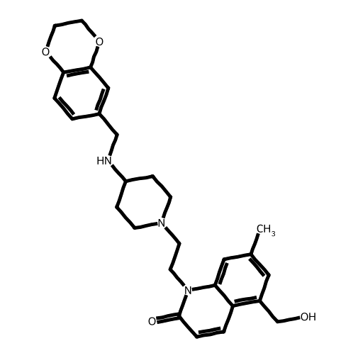 Cc1cc(CO)c2ccc(=O)n(CCN3CCC(NCc4ccc5c(c4)OCCO5)CC3)c2c1